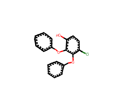 Oc1ccc(Cl)c(Oc2ccccc2)c1Oc1ccccc1